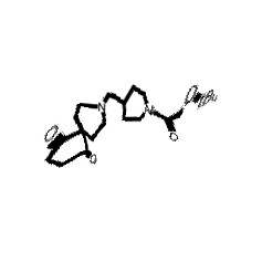 CC(C)(C)OC(=O)N1CCC(CN2CCC3(CC2)C(=O)CCC3=O)CC1